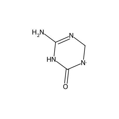 NC1=NC[N]C(=O)N1